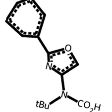 CC(C)(C)N(C(=O)O)c1coc(-c2ccccc2)n1